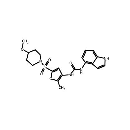 COC1CCN(S(=O)(=O)c2cc(NC(=O)Nc3cccc4[nH]ccc34)c(C)o2)CC1